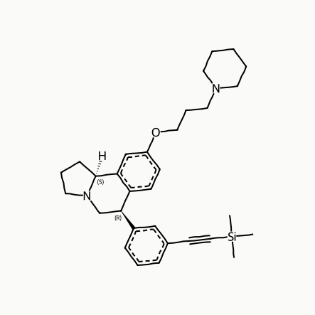 C[Si](C)(C)C#Cc1cccc([C@H]2CN3CCC[C@H]3c3cc(OCCCN4CCCCC4)ccc32)c1